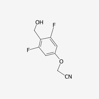 N#CCOc1cc(F)c(CO)c(F)c1